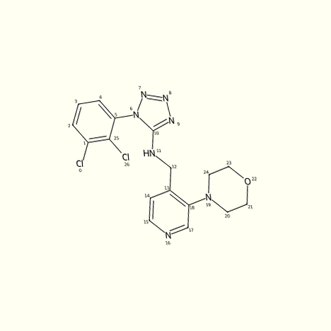 Clc1cccc(-n2nnnc2NCc2ccncc2N2CCOCC2)c1Cl